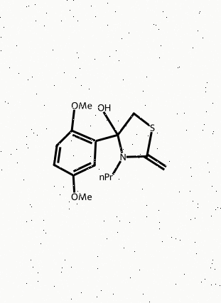 C=C1SCC(O)(c2cc(OC)ccc2OC)N1CCC